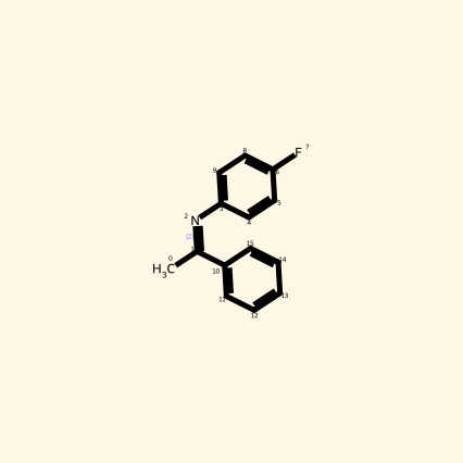 C/C(=N/c1ccc(F)cc1)c1ccccc1